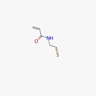 C=CC(=O)NCC=S